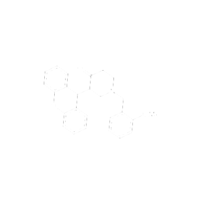 COc1ccccc1CN1CCC(=O)C(C2c3ccccc3Oc3ccccc32)C1